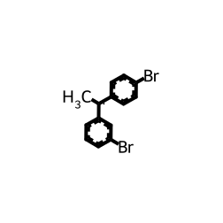 C[C](c1ccc(Br)cc1)c1cccc(Br)c1